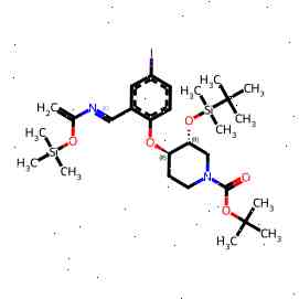 C=C(/N=C/c1cc(I)ccc1O[C@@H]1CCN(C(=O)OC(C)(C)C)C[C@H]1O[Si](C)(C)C(C)(C)C)O[Si](C)(C)C